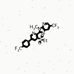 CCS(=O)(=O)c1cc(-c2ccc(C(F)(F)F)cc2)cnc1-c1nc2cc(C(F)(F)F)cnc2n1C